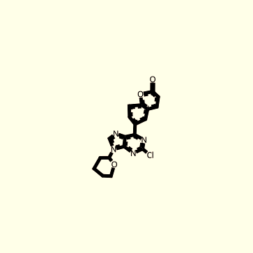 O=c1ccc2cc(-c3nc(Cl)nc4c3ncn4C3CCCCO3)ccc2o1